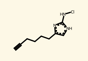 C#CCCCCc1c[nH]c(NCl)n1